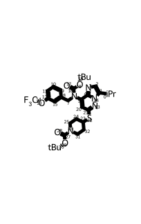 CC(C)c1cnc2c(N(Cc3cccc(OC(F)(F)F)c3)C(=O)OC(C)(C)C)cc(SC3CCN(C(=O)OC(C)(C)C)CC3)nn12